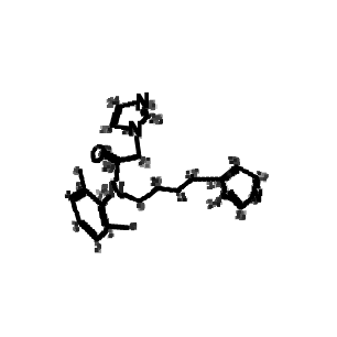 Cc1cccc(C)c1N(CCCCc1ccncc1)C(=O)Cn1ccnc1